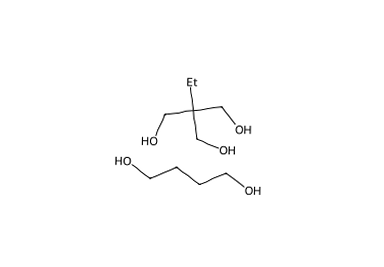 CCC(CO)(CO)CO.OCCCCO